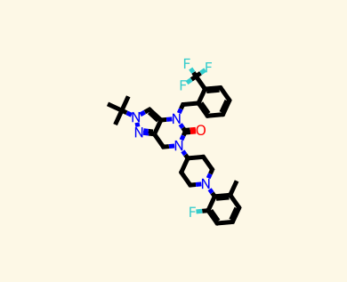 Cc1cccc(F)c1N1CCC(N2Cc3nn(C(C)(C)C)cc3N(Cc3ccccc3C(F)(F)F)C2=O)CC1